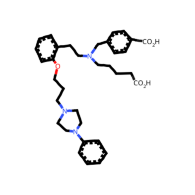 O=C(O)CCCCN(CCc1ccccc1OCCCN1CCN(c2ccccc2)CC1)Cc1ccc(C(=O)O)cc1